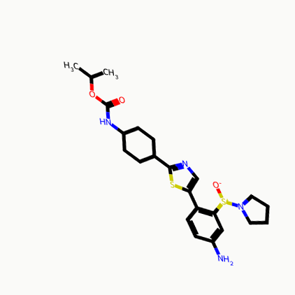 CC(C)OC(=O)NC1CCC(c2ncc(-c3ccc(N)cc3[S+]([O-])N3CCCC3)s2)CC1